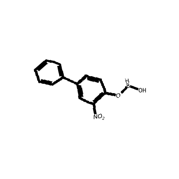 O=[N+]([O-])c1cc(-c2ccccc2)ccc1OBO